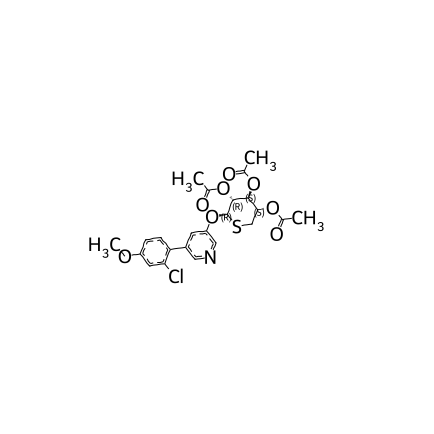 COc1ccc(-c2cncc(O[C@@H]3SC[C@@H](OC(C)=O)[C@H](OC(C)=O)[C@H]3OC(C)=O)c2)c(Cl)c1